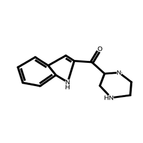 O=C(c1cc2ccccc2[nH]1)C1CNCC[N]1